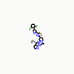 C=C(Cn1nc(C(C)C)c2cccnc21)N1CCC(c2nc(C3=NCC(c4c(F)cccc4F)C3)cs2)CC1